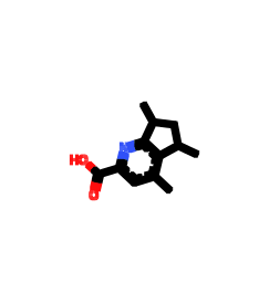 Cc1cc(C(=O)O)nc2c1C(C)CC2C